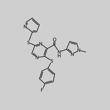 Cn1ccc(NC(=O)c2nc(Sc3ccccn3)cnc2Sc2ccc(F)cc2)n1